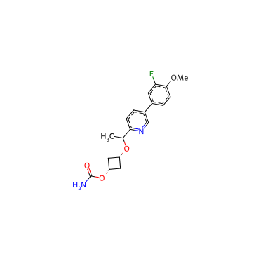 COc1ccc(-c2ccc(C(C)O[C@H]3C[C@@H](OC(N)=O)C3)nc2)cc1F